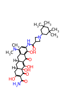 CN(C)c1cc(NC(=O)C2CN(C3CC(C)(C)CC(C)(C)C3)C2)c(O)c2c1C[C@H]1C[C@H]3CC(O)=C(C(N)=O)C(=O)[C@@]3(O)C(O)=C1C2=O